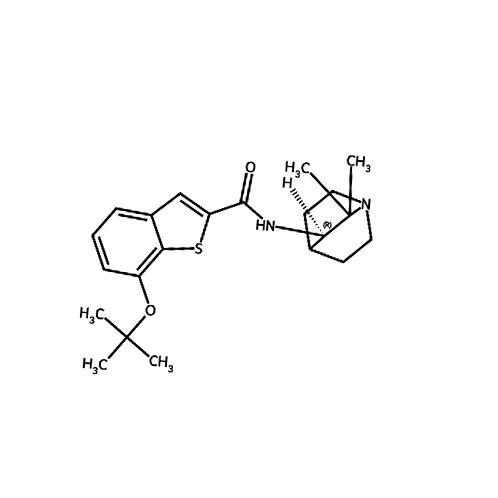 CC(C)(C)Oc1cccc2cc(C(=O)N[C@@H]3C4CCN(CC4)C3(C)C)sc12